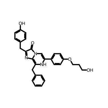 O=c1c(Cc2ccc(O)cc2)nc2c(Cc3ccccc3)[nH]c(-c3ccc(OCCCO)cc3)cn1-2